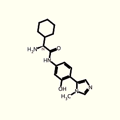 Cn1cncc1-c1ccc(NC(=O)[C@@H](N)C2CCCCC2)cc1O